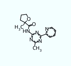 Cc1nc(NC(=O)C2(C)CCCO2)nc(-c2ccccn2)n1